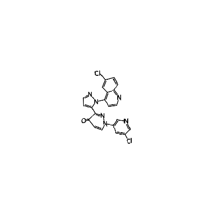 O=c1ccn(-c2cncc(Cl)c2)nc1-c1ccnn1-c1ccnc2ccc(Cl)cc12